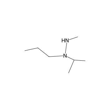 CCCN(NC)C(C)C